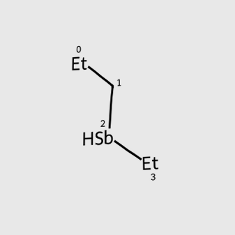 CC[CH2][SbH][CH2]C